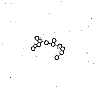 c1ccc(-c2ccc3ccc4ccc(-c5ccc(-c6ccc(-c7nc8ccccc8c8c7ccc7c9ccccc9sc78)cc6)c6ccccc56)nc4c3n2)cc1